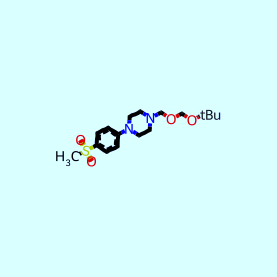 CC(C)(C)OCOCN1CCN(c2ccc(S(C)(=O)=O)cc2)CC1